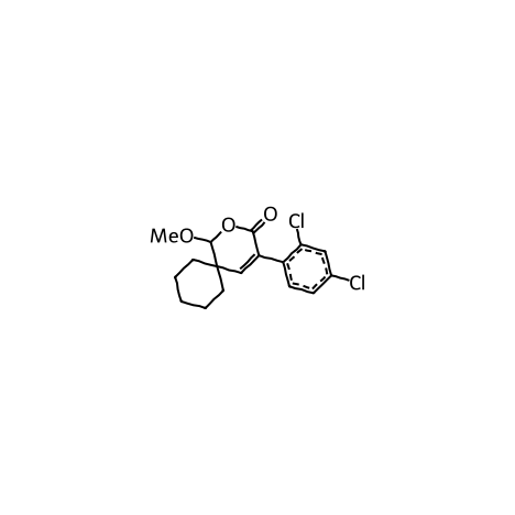 COC1OC(=O)C(c2ccc(Cl)cc2Cl)=CC12CCCCC2